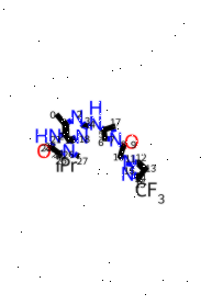 Cc1nc(NC2CN(C(=O)Cn3ccc(C(F)(F)F)n3)C2)nc2c1NC(=O)C(C(C)C)N2C